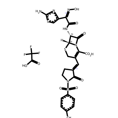 Cc1ccc(S(=O)(=O)N2CC/C(=C\C3=C(C(=O)O)N4C(=O)[C@@H](NC(=O)/C(=N\O)c5csc(N)n5)[C@H]4SC3)C2=O)cc1.O=C(O)C(F)(F)F